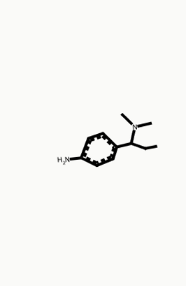 C[CH]C(c1ccc(N)cc1)N(C)C